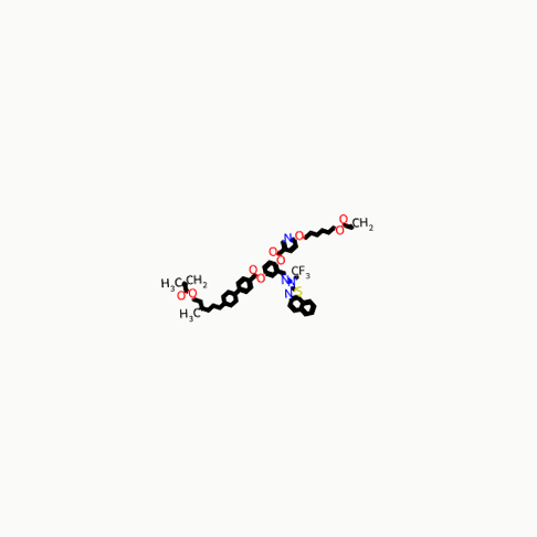 C=CC(=O)OCCCCCCOc1ccc(C(=O)Oc2ccc(OC(=O)c3ccc(C4CCC(CCCC(C)CCOC(=O)C(=C)C)CC4)cc3)cc2/C=N/N(CC(F)(F)F)c2nc3ccc4ccccc4c3s2)cn1